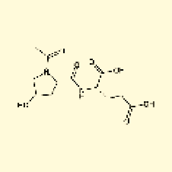 CC(=O)N1CC(O)C[C@H]1C(=O)N[C@@H](CCC(=O)O)C(=O)O